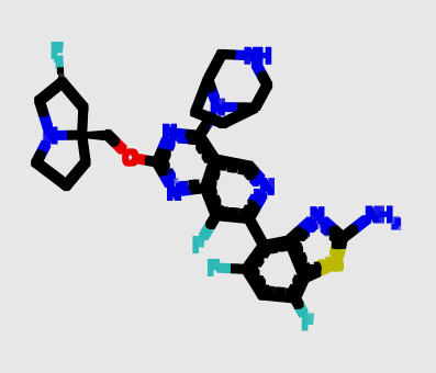 Nc1nc2c(-c3ncc4c(N5C6CCC5CNC6)nc(OC[C@@]56CCCN5C[C@H](F)C6)nc4c3F)c(F)cc(F)c2s1